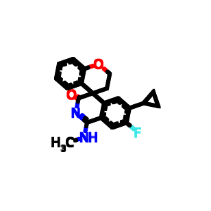 CNC1=NC(=O)C2(CCOc3ccccc32)c2cc(C3CC3)c(F)cc21